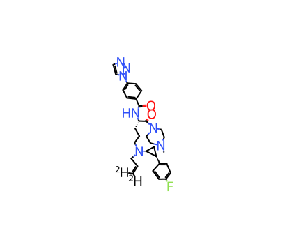 [2H]C([2H])=CCN(CCC[C@H](NC(=O)c1ccc(-n2ccnn2)cc1)C(=O)N1CCN(C)CC1)[C@@H]1C[C@H]1c1ccc(F)cc1